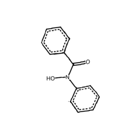 O=C(c1ccccc1)N(O)c1[c]cccc1